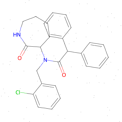 O=C1NCCCCC1N(Cc1ccccc1Cl)C(=O)C(c1ccccc1)c1ccccc1